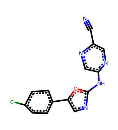 N#Cc1cnc(Nc2ncc(-c3ccc(Cl)cc3)o2)cn1